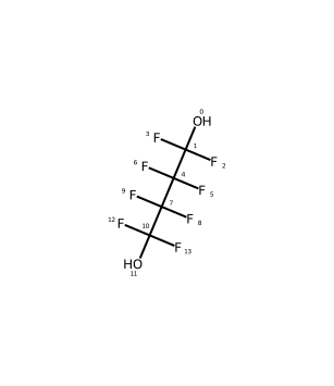 OC(F)(F)C(F)(F)C(F)(F)C(O)(F)F